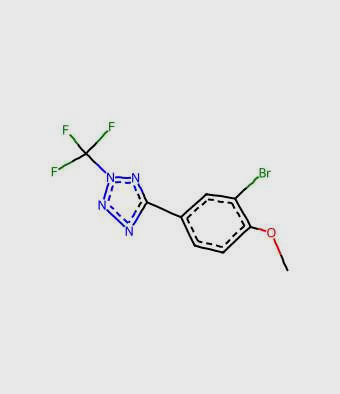 COc1ccc(-c2nnn(C(F)(F)F)n2)cc1Br